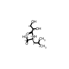 CC(C)C[C@H](NC(=O)C(O)CO)C(=O)O